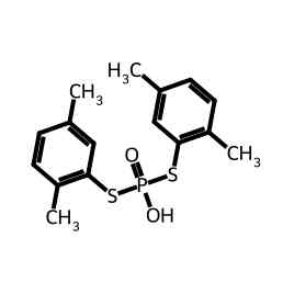 Cc1ccc(C)c(SP(=O)(O)Sc2cc(C)ccc2C)c1